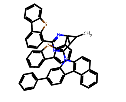 CC1C2C(n3c4cc(-c5ccccc5)ccc4c4c5ccccc5ccc43)=NC(c3cccc4c3sc3ccccc34)=NC12c1cccc2c1sc1ccccc12